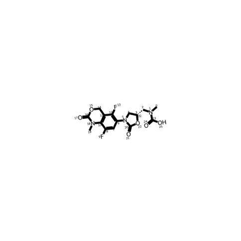 CN(C[C@H]1CN(c2cc(F)c3c(c2F)COC(=O)N3C)C(=O)O1)C(=O)O